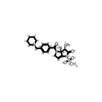 CCC[C@H]1C(=O)N(S(C)(=O)=O)C2=CCN(C(=O)c3ccc(CN4CCCCC4)cc3)[C@@H]21